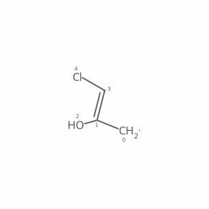 [CH2]C(O)=CCl